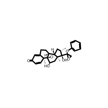 C[C@H]1C[C@H]2[C@@H]3CCC4=CC(=O)C=C[C@]4(C)[C@@]3(Cl)[C@@H](O)C[C@]2(C)[C@@]1(O)[C@]1(Oc2ccccc2)CO1